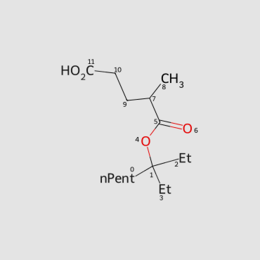 CCCCCC(CC)(CC)OC(=O)C(C)CCC(=O)O